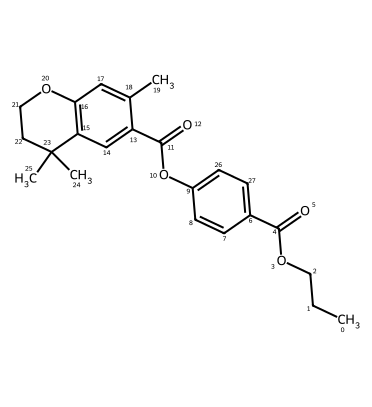 CCCOC(=O)c1ccc(OC(=O)c2cc3c(cc2C)OCCC3(C)C)cc1